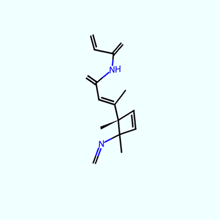 C=CC(=C)NC(=C)/C=C(\C)[C@]1(C)C=CC1(C)N=C